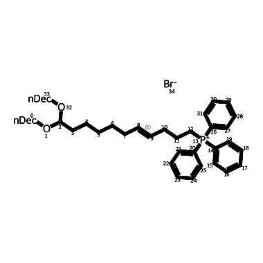 CCCCCCCCCCOC(CCCCC/C=C/CCC[P+](c1ccccc1)(c1ccccc1)c1ccccc1)OCCCCCCCCCC.[Br-]